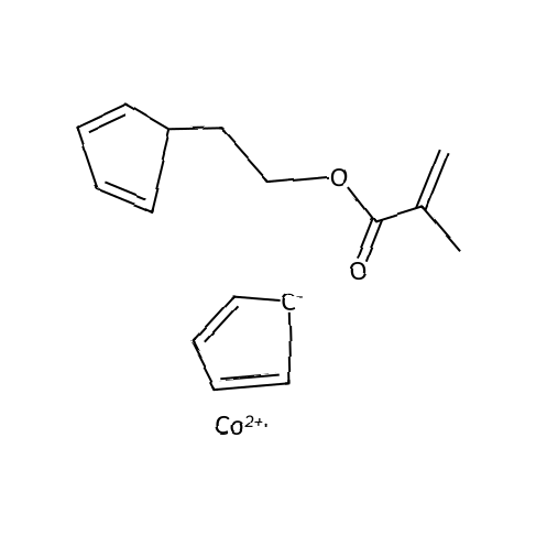 C=C(C)C(=O)OCCC1C=CC=C1.[Co+2].c1cc[cH-]c1